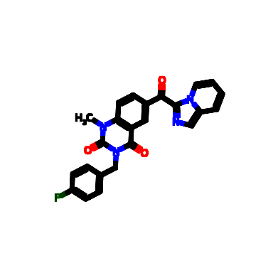 Cn1c(=O)n(Cc2ccc(F)cc2)c(=O)c2cc(C(=O)c3ncc4ccccn34)ccc21